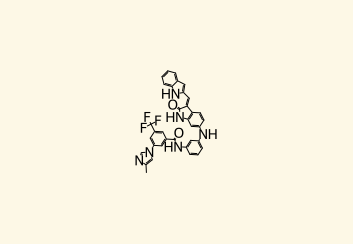 Cc1cn(-c2cc(C(=O)Nc3cccc(Nc4ccc5c(c4)NC(=O)C5=Cc4cc5ccccc5[nH]4)c3)cc(C(F)(F)F)c2)cn1